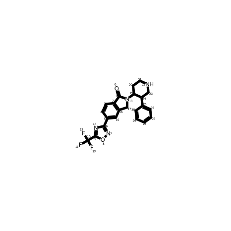 O=C1c2ccc(-c3noc(C(F)(F)F)n3)cc2CN1C1CCNCC1c1ccccc1